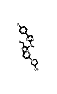 CN(c1nc(-c2ccc(F)cc2)cs1)c1c(CI)nc2ccc(N3CCC(O)C3)nn12